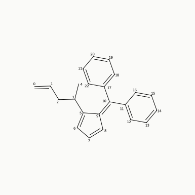 C=CCC(C)C1=CC=CC1=C(c1ccccc1)c1ccccc1